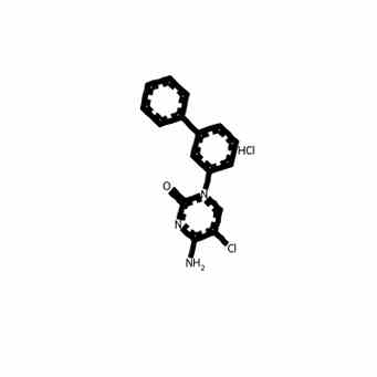 Cl.Nc1nc(=O)n(-c2cccc(-c3ccccc3)c2)cc1Cl